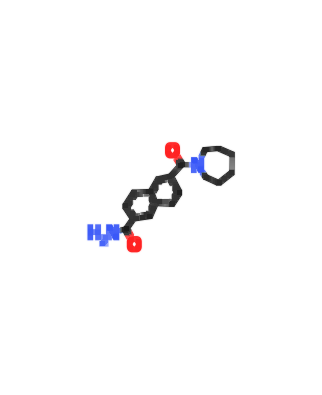 NC(=O)c1ccc2cc(C(=O)N3CCCCCC3)ccc2c1